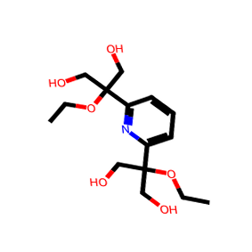 CCOC(CO)(CO)c1cccc(C(CO)(CO)OCC)n1